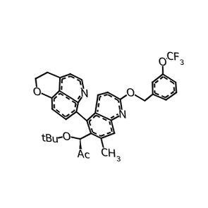 CC(=O)[C@@H](OC(C)(C)C)c1c(C)cc2nc(OCc3cccc(OC(F)(F)F)c3)ccc2c1-c1ccc2c3c(ccnc13)CCO2